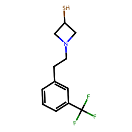 FC(F)(F)c1cccc(CCN2CC(S)C2)c1